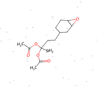 CC(=O)OC([SiH3])(CCC1CCC2OC2C1)OC(C)=O